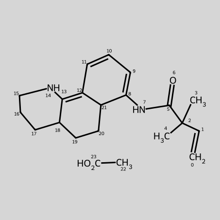 C=CC(C)(C)C(=O)NC1=CC=CC2=C3NCCCC3CCC12.CC(=O)O